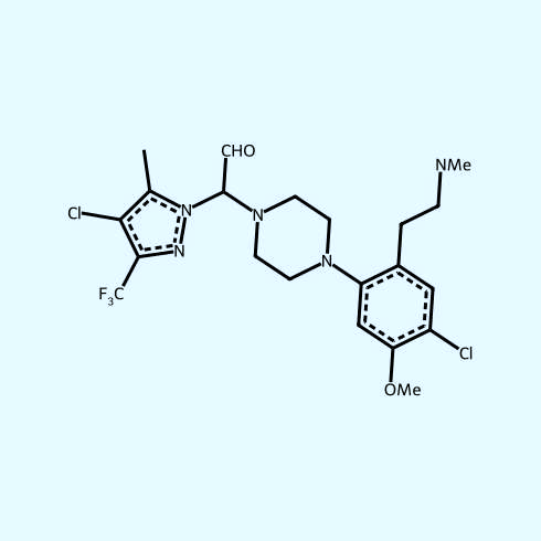 CNCCc1cc(Cl)c(OC)cc1N1CCN(C(C=O)n2nc(C(F)(F)F)c(Cl)c2C)CC1